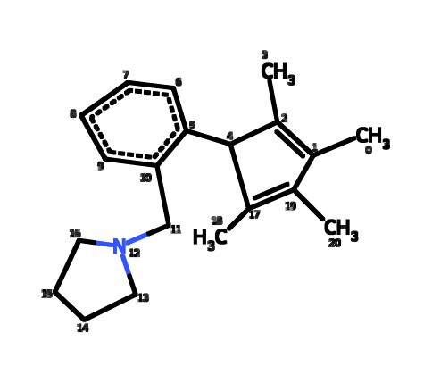 CC1=C(C)C(c2ccccc2CN2CCCC2)C(C)=C1C